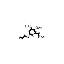 C=CCO[C@@H]1CC(OC(C)=O)[C@H](OC(C)=O)C(COC(C)=O)O1